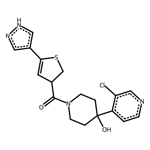 O=C(C1C=C(c2cn[nH]c2)SC1)N1CCC(O)(c2ccncc2Cl)CC1